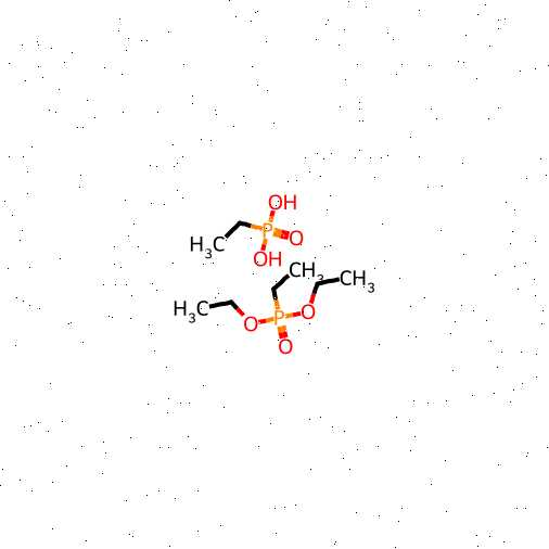 CCOP(=O)(CC)OCC.CCP(=O)(O)O